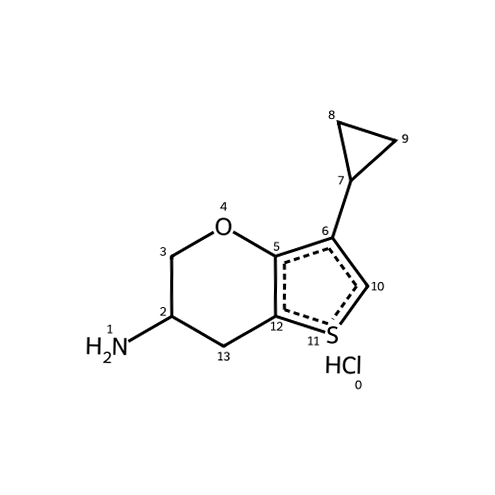 Cl.NC1COc2c(C3CC3)csc2C1